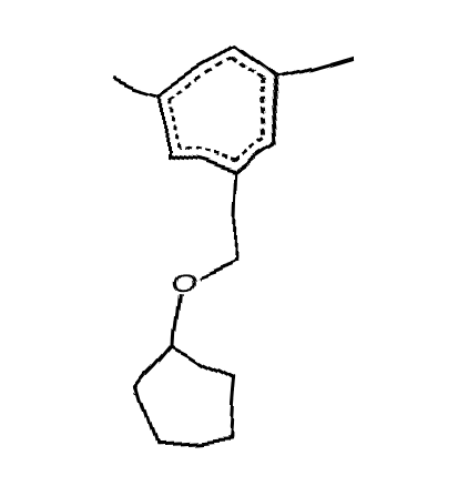 Cc1cc(C)cc(COC2CCCC2)c1